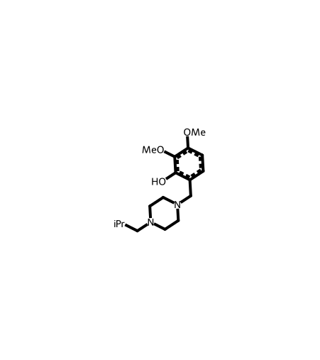 COc1ccc(CN2CCN(CC(C)C)CC2)c(O)c1OC